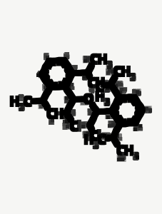 CC(C)c1cccc(C(C)C)c1C(CCl)OC(CCl)c1c(C(C)C)cccc1C(C)C